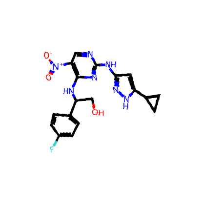 O=[N+]([O-])c1cnc(Nc2cc(C3CC3)[nH]n2)nc1NC(CO)c1ccc(F)cc1